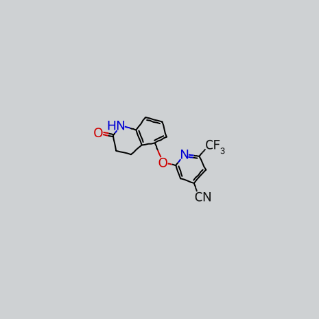 N#Cc1cc(Oc2cccc3c2CCC(=O)N3)nc(C(F)(F)F)c1